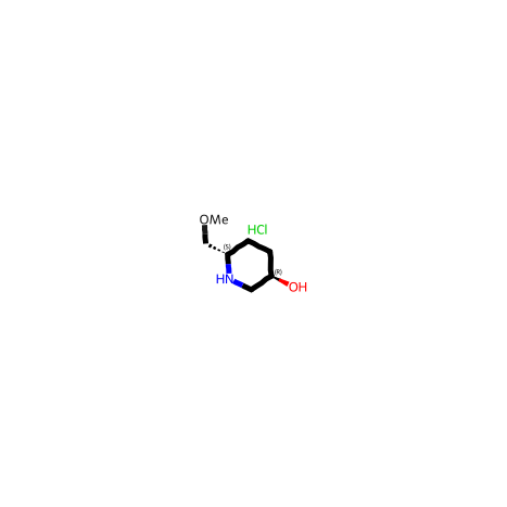 COC[C@@H]1CC[C@@H](O)CN1.Cl